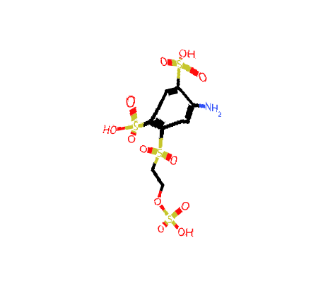 Nc1cc(S(=O)(=O)CCOS(=O)(=O)O)c(S(=O)(=O)O)cc1S(=O)(=O)O